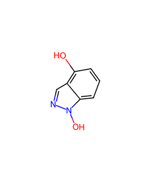 Oc1cccc2c1cnn2O